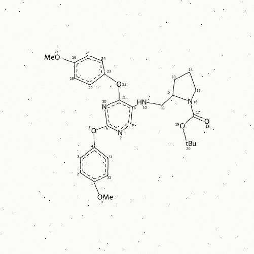 COc1ccc(Oc2ncc(NCC3CCCN3C(=O)OC(C)(C)C)c(Oc3ccc(OC)cc3)n2)cc1